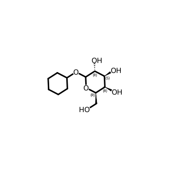 OC[C@H]1OC(OC2CCCCC2)[C@H](O)[C@@H](O)[C@H]1O